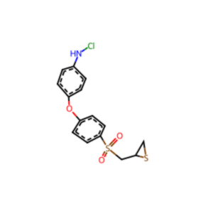 O=S(=O)(CC1CS1)c1ccc(Oc2ccc(NCl)cc2)cc1